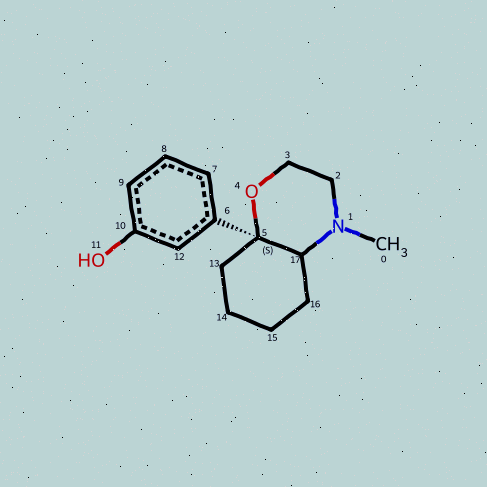 CN1CCO[C@]2(c3cccc(O)c3)CCCCC12